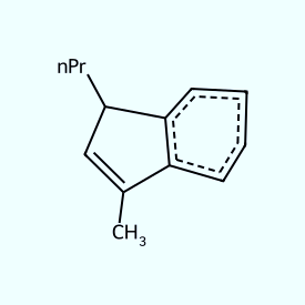 CCCC1C=C(C)c2ccccc21